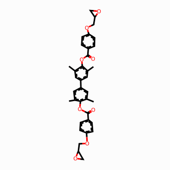 Cc1cc(-c2cc(C)c(OC(=O)c3ccc(OCC4CO4)cc3)c(C)c2)cc(C)c1OC(=O)c1ccc(OCC2CO2)cc1